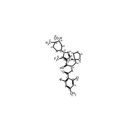 Cc1cc(F)c(C(=O)CN(C[C@]2(C)CCCO2)C(=O)c2cnn([C@H]3CC[C@](C)(C(=O)O)CC3)c2C(F)(F)F)c(Cl)c1